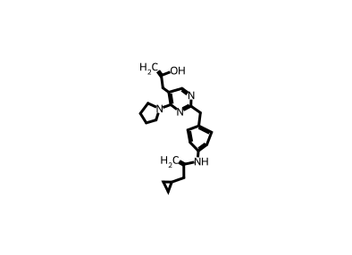 C=C(O)Cc1cnc(Cc2ccc(NC(=C)CC3CC3)cc2)nc1N1CCCC1